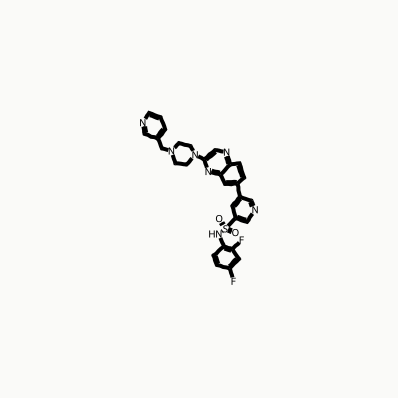 O=S(=O)(Nc1ccc(F)cc1F)c1cncc(-c2ccc3ncc(N4CCN(Cc5cccnc5)CC4)nc3c2)c1